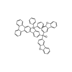 O=P(c1ccc2c(c1)[Si](c1ccccc1)(c1ccccc1)c1cc3c4ccccc4c4ccccc4c3cc1-2)(c1ccc2oc3ccccc3c2c1)c1ccc2oc3ccccc3c2c1